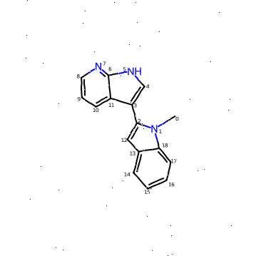 Cn1c(-c2c[nH]c3ncccc23)cc2c[c]ccc21